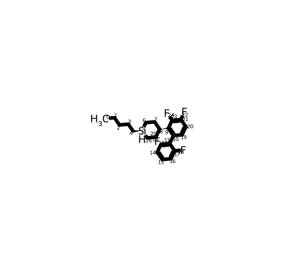 CCCCC[Si@H]1CC[C@H](c2c(-c3c(F)cccc3F)ccc(F)c2F)CC1